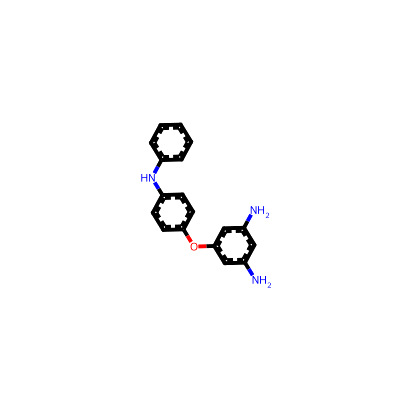 Nc1cc(N)cc(Oc2ccc(Nc3ccccc3)cc2)c1